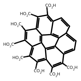 O=C(O)c1c(C(=O)O)c2c(C(=O)O)c(C(=O)O)c3c(C(=O)O)c(C(=O)O)c4c(C(=O)O)c(C(=O)O)c5ccc6ccc1c1c6c5c4c3c21